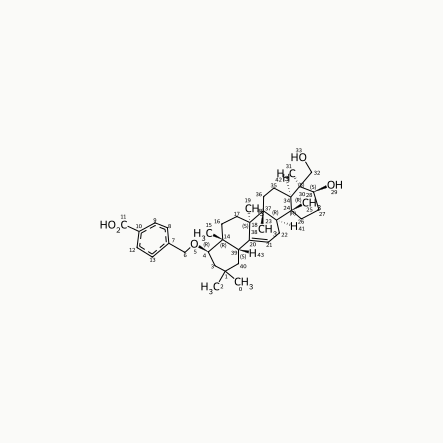 CC1(C)C[C@@H](OCc2ccc(C(=O)O)cc2)[C@]2(C)CC[C@]3(C)C(=CC[C@@H]4[C@@]5(C)CC[C@H](O)[C@](C)(CO)[C@@H]5CC[C@]43C)[C@@H]2C1